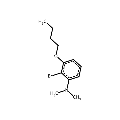 CCCCOc1cccc(N(C)C)c1Br